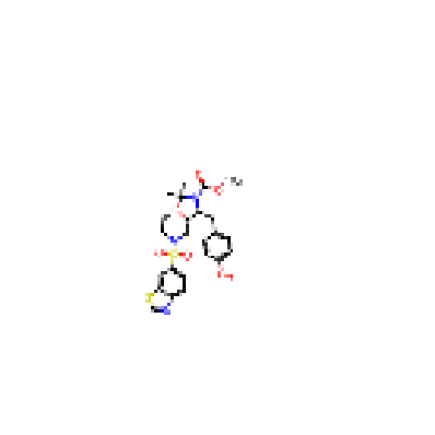 CC(C)CN(C[C@H]1OC(C)(C)N(C(=O)OC(C)(C)C)[C@H]1Cc1ccc(O)cc1)S(=O)(=O)c1ccc2ncsc2c1